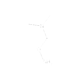 CN(C)CO[SiH3]